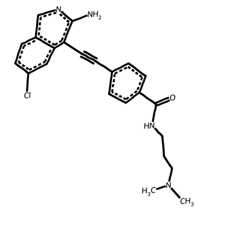 CN(C)CCCNC(=O)c1ccc(C#Cc2c(N)ncc3ccc(Cl)cc23)cc1